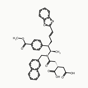 COC(=O)c1ccc([C@@H](C/C=C/c2nc3ccccc3o2)[C@@H](C)N(Cc2ccc3ccccc3c2)C(=O)C[C@H](CC(=O)O)C(=O)O)cc1